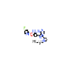 Nc1nccn2c(C3CCCN3C(=O)O)nc(-c3ccc(OCc4cc(F)ccn4)cc3)c12